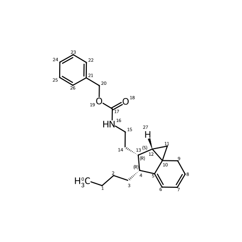 CCCC[C@H]1C2=CC=CCC23C[C@H]3[C@H]1CCNC(=O)OCc1ccccc1